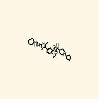 COc1ccc(-c2sc(NCC3CCCCC3)nc2C)cc1S(=O)(=O)NC1CCN(C2CCCC2)CC1